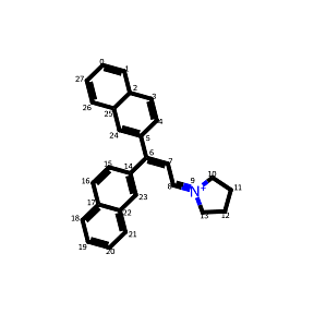 C1=CC2C=CC(/C(=C/C=[N+]3CCCC3)c3ccc4ccccc4c3)=CC2C=C1